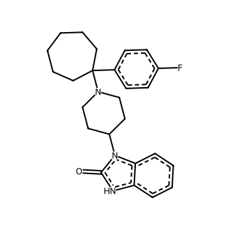 O=c1[nH]c2ccccc2n1C1CCN(C2(c3ccc(F)cc3)CCCCCC2)CC1